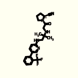 CC(C)(CNc1ccc(-c2ccccc2C(F)(F)F)cn1)NCC(=O)N1CCC[C@H]1C#N